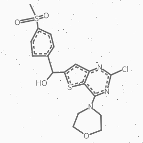 CS(=O)(=O)c1ccc(C(O)c2cc3nc(Cl)nc(N4CCOCC4)c3s2)cc1